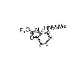 CSNc1cccc2oc(C(F)(F)F)nc12